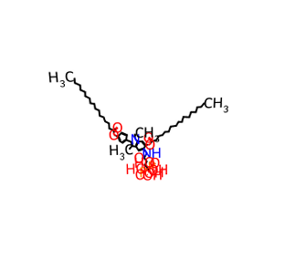 CCCCCCCCCCCCCCCCCC(=O)Oc1ccc(-c2c(C)c3cc(NC(=O)CCC(O)(P(=O)(O)O)P(=O)(O)O)c(OC(=O)CCCCCCCCCCCCCCCCC)cc3n2CC)cc1